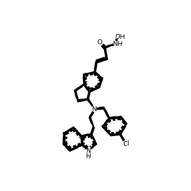 O=C(/C=C/c1ccc2c(c1)CCC2N(CCc1c[nH]c2ccccc12)Cc1ccc(Cl)cc1)NO